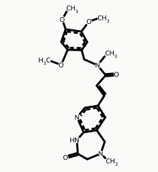 COc1cc(OC)c(OC)cc1CN(C)C(=O)/C=C/c1cnc2c(c1)CN(C)CC(=O)N2